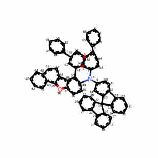 c1ccc(-c2ccc(N(c3ccc4c(c3)C3(c5ccccc5-c5ccccc53)c3ccccc3-4)c3ccc4oc5c6ccccc6ccc5c4c3-c3cccc(-c4ccccc4)c3)cc2)cc1